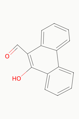 O=Cc1c(O)c2ccccc2c2ccccc12